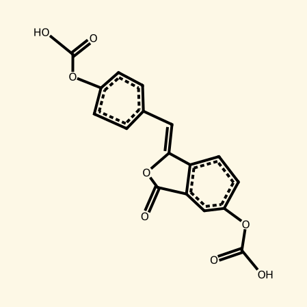 O=C(O)Oc1ccc(C=C2OC(=O)c3cc(OC(=O)O)ccc32)cc1